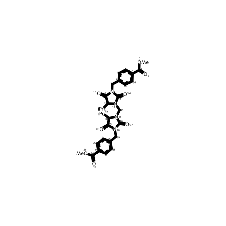 COC(=O)c1ccc(CN2C(=O)C(C(C)C)N(CN3C(=O)N(Cc4ccc(C(=O)OC)cc4)C(=O)C3C(C)C)C2=O)cc1